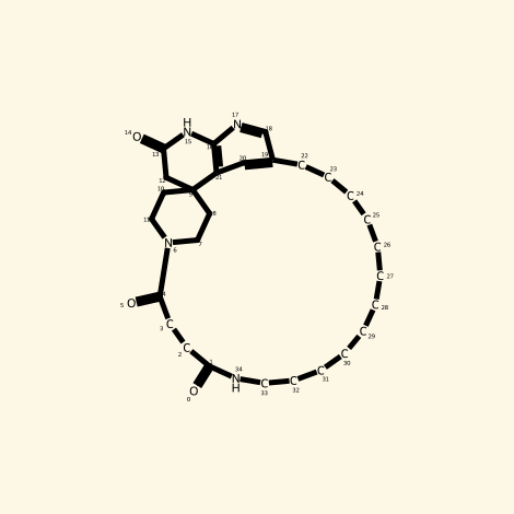 O=C1CCC(=O)N2CCC3(CC2)CC(=O)Nc2ncc(cc23)CCCCCCCCCCCCN1